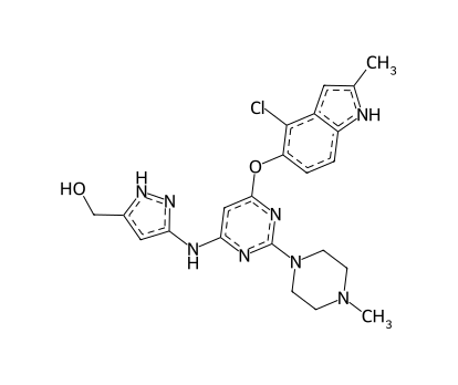 Cc1cc2c(Cl)c(Oc3cc(Nc4cc(CO)[nH]n4)nc(N4CCN(C)CC4)n3)ccc2[nH]1